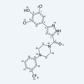 O=C(c1cc(-c2cc(Cl)c(O)c(Cl)c2)n[nH]1)N1CCN(c2cccc(C(F)(F)F)c2)CC1